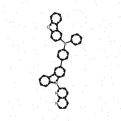 c1ccc(N(c2ccc(-c3ccc4c(c3)c3ccccc3n4-c3ccc4cccnc4n3)cc2)c2ccc3oc4ccccc4c3c2)cc1